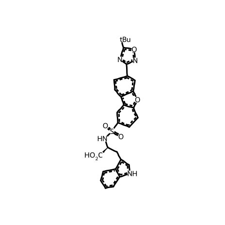 CC(C)(C)c1nc(-c2ccc3c(c2)oc2ccc(S(=O)(=O)N[C@@H](Cc4c[nH]c5ccccc45)C(=O)O)cc23)no1